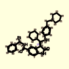 CC[C@@H](NC(=O)c1ccc2c(c1)/C(=C(/Nc1ccc(CN3CCCCC3)cc1)C1CCCCC1)C(=O)N2)c1ccccc1